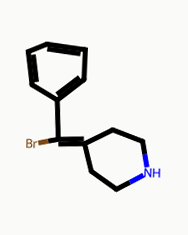 BrC(=C1CCNCC1)c1ccccc1